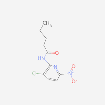 CCCCC(=O)Nc1nc([N+](=O)[O-])ccc1Cl